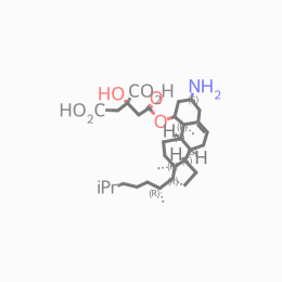 CC(C)CCC[C@@H](C)[C@H]1CC[C@H]2[C@@H]3CC=C4C[C@H](N)CC(OC(=O)CC(O)(CC(=O)O)C(=O)O)[C@]4(C)[C@H]3CC[C@]12C